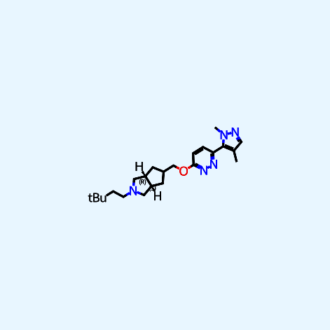 Cc1cnn(C)c1-c1ccc(OCC2C[C@@H]3CN(CCC(C)(C)C)C[C@@H]3C2)nn1